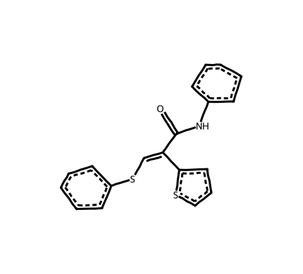 O=C(Nc1ccccc1)/C(=C/Sc1ccccc1)c1cccs1